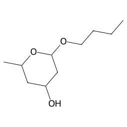 CCCCOC1CC(O)CC(C)O1